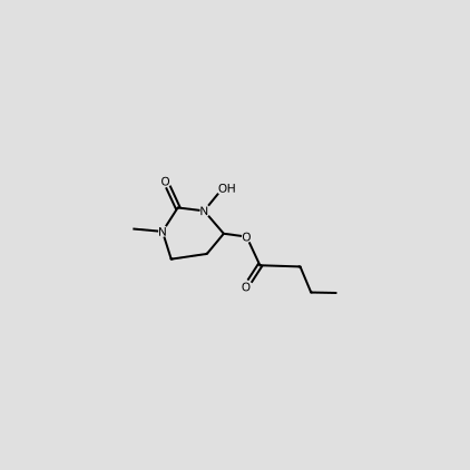 CCCC(=O)OC1CCN(C)C(=O)N1O